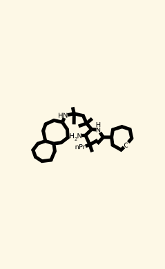 CCCC(C)(C)C(N)C(NC(C)C1CCCCCCC1)C(C)(C)CC(C)(C)NC1CCCC2CCCCCCC2CCC1